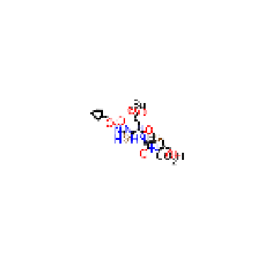 CC(C)(C)OC(=O)C/C=C(/C(=O)N[C@@H]1C(=O)N2C(C(=O)O)=C(CO)CS[C@H]12)c1csc(NC(=O)OCc2ccccc2)n1